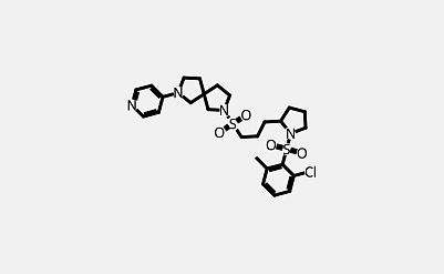 Cc1cccc(Cl)c1S(=O)(=O)N1CCCC1CCCS(=O)(=O)N1CCC2(CCN(c3ccncc3)C2)C1